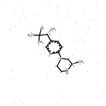 CCC(C)(C)[C@H](C)c1ccc(N2CCN[C@H](C)C2)nc1